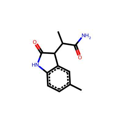 Cc1ccc2c(c1)C(C(C)C(N)=O)C(=O)N2